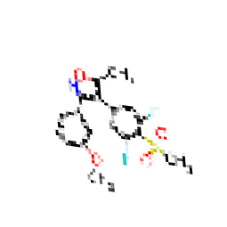 Cc1onc(-c2cccc(OC(F)(F)F)c2)c1-c1cc(F)c(S(C)(=O)=O)c(F)c1